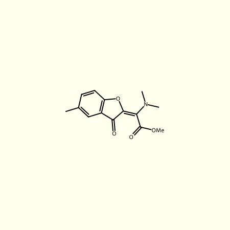 COC(=O)C(=C1Oc2ccc(C)cc2C1=O)N(C)C